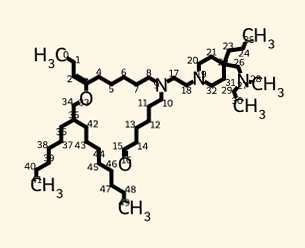 CC/C=C(\CCCCCN(CCCCCC=O)CCN1CCC(CCC)(CN(C)CC)CC1)OCC(CCCCCC)CCCCCCCC